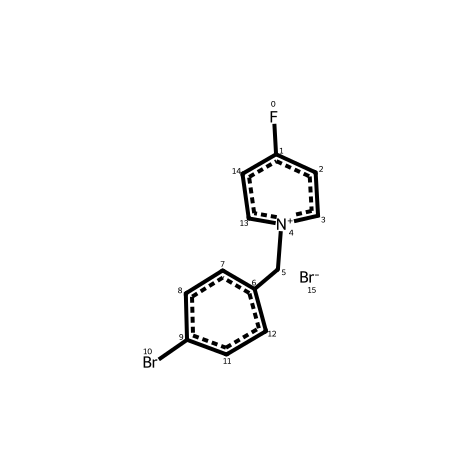 Fc1cc[n+](Cc2ccc(Br)cc2)cc1.[Br-]